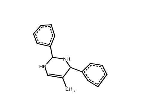 CC1=CNC(c2ccccc2)NC1c1ccccc1